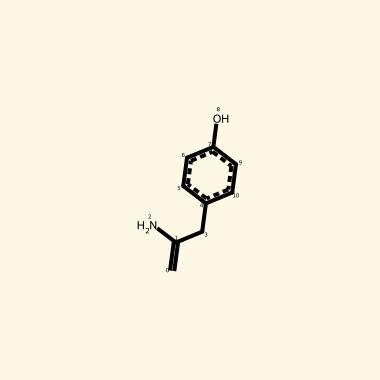 C=C(N)Cc1ccc(O)cc1